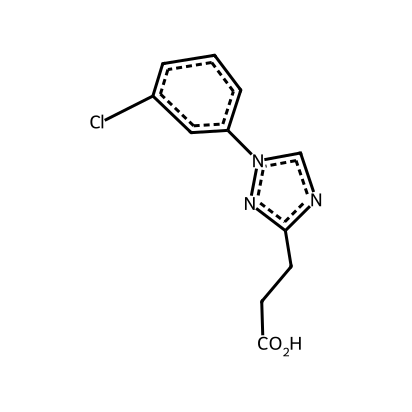 O=C(O)CCc1ncn(-c2cccc(Cl)c2)n1